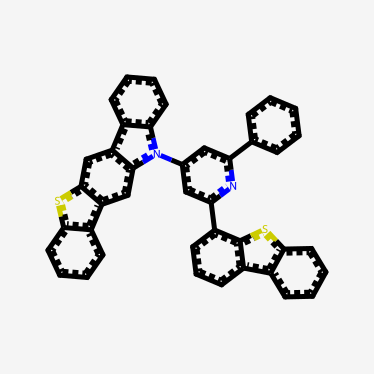 c1ccc(-c2cc(-n3c4ccccc4c4cc5sc6ccccc6c5cc43)cc(-c3cccc4c3sc3ccccc34)n2)cc1